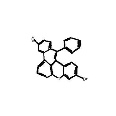 Clc1ccc2c(-c3ccccc3)c3c4c(cccc4c2c1)Oc1cc(Br)ccc1-3